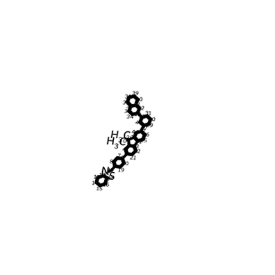 CC1(C)c2cc(-c3ccc(-c4nc5ccccc5s4)cc3)ccc2-c2ccc(-c3cccc(-c4ccc5ccccc5c4)c3)cc21